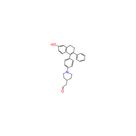 O=CCC1CCN(c2ccc(C3=C(c4ccccc4)CCc4cc(O)ccc43)cc2)CC1